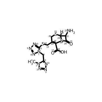 Cn1nnnc1Cn1nnnc1SCC1=C(C(=O)O)N2C(=O)C(N)[C@H]2SC1